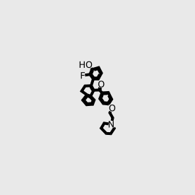 O=C(C1=C(c2cccc(O)c2F)CCc2ccccc21)c1ccc(OCCN2CCCCC2)cc1